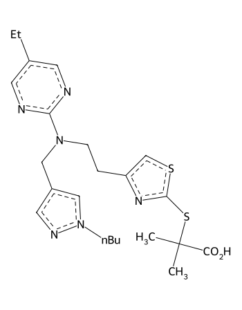 CCCCn1cc(CN(CCc2csc(SC(C)(C)C(=O)O)n2)c2ncc(CC)cn2)cn1